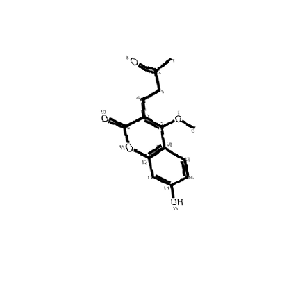 COc1c(CCC(C)=O)c(=O)oc2cc(O)ccc12